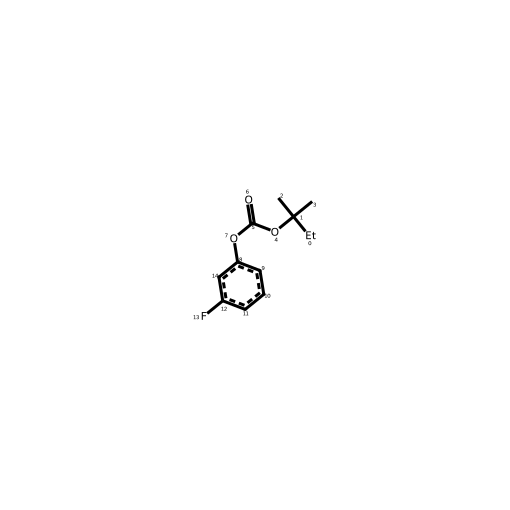 CCC(C)(C)OC(=O)Oc1cccc(F)c1